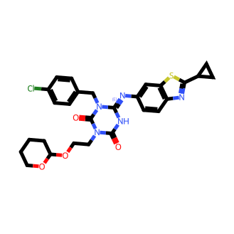 O=c1[nH]/c(=N\c2ccc3nc(C4CC4)sc3c2)n(Cc2ccc(Cl)cc2)c(=O)n1CCOC1CCCCO1